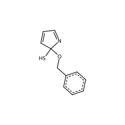 SC1(OCc2ccccc2)C=CC=N1